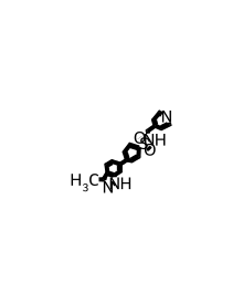 Cc1n[nH]c2cc(-c3ccc(S(=O)(=O)NCc4ccncc4)cc3)ccc12